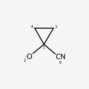 N#CC1([O])CC1